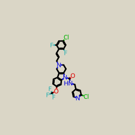 O=C(NCc1ccnc(Cl)c1)n1c2c(c3ccc(OC(F)(F)F)cc31)CN(CC=Cc1c(F)cc(Cl)cc1F)CC2